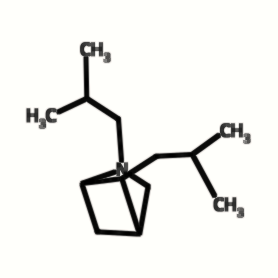 CC(C)CC1C2CC1N(CC(C)C)C2